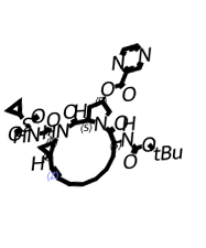 CC(C)(C)OC(=O)N[C@H]1CCCCC/C=C\[C@@H]2C[C@@]2(C(=O)NS(=O)(=O)C2CC2)NC(=O)[C@@H]2C[C@@H](OC(=O)c3cnccn3)CN2C1=O